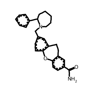 NC(=O)c1ccc2c(c1)CCc1cc(CN3CCCCCC3c3ccccc3)ccc1O2